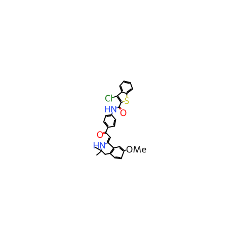 COc1ccc2c(c1)C(=CC(=O)c1ccc(NC(=O)c3sc4ccccc4c3Cl)cc1)NC(C)(C)C2